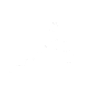 CCCCCCOCC[N+](C)(C)C(CC(C)(C)N)OS(=O)(=O)c1ccc(C)cc1